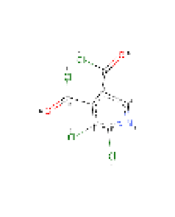 O=C(Cl)c1cnc(Cl)c(Cl)c1C(=O)Cl